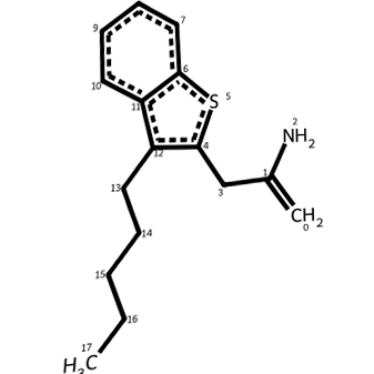 C=C(N)Cc1sc2ccccc2c1CCCCC